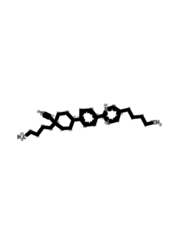 CCCCCc1cnc(-c2ccc(C3CCC(C#N)(CCCCC)CC3)cc2)nc1